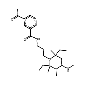 CCC1(C)CC(NC)C(C)C(C)(CC)N1CCCNC(=O)c1cccc(C(C)=O)c1